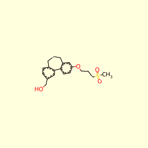 CS(=O)(=O)CCCOc1ccc2c(c1)CCCc1ccc(CO)cc1-2